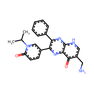 CC(C)n1cc(-c2nc3c(=O)c(CN)c[nH]c3nc2-c2ccccc2)ccc1=O